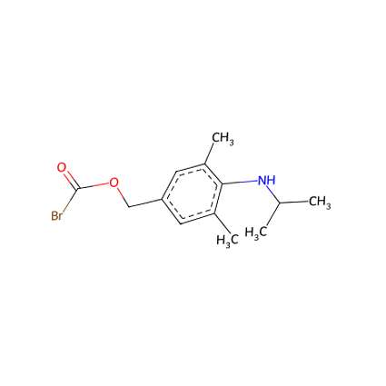 Cc1cc(COC(=O)Br)cc(C)c1NC(C)C